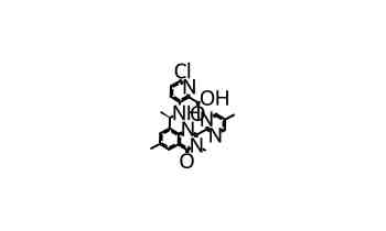 Cc1cnc(-c2nc3c([C@@H](C)Nc4ccc(Cl)nc4C(=O)O)cc(C)cc3c(=O)n2C)nc1